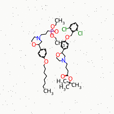 CC(C)(C)OC(=O)CCCN1CCOC(c2ccc(OCc3c(Cl)cccc3Cl)cc2)C1.CCCCCCCCOc1ccc(C2CN(CCCP(=O)(OCC)OCC)CCO2)cc1